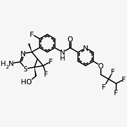 C[C@]1(c2cc(NC(=O)c3ccc(OCC(F)(F)C(F)F)cn3)ccc2F)N=C(N)S[C@]2(CO)C1C2(F)F